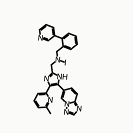 Cc1cccc(-c2nc(CN(I)Cc3ccccc3-c3cccnc3)[nH]c2-c2ccc3ncnn3c2)n1